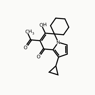 CC(=O)C1=C(O)C2(CCCCC2)n2ccc(C3CC3)c2C1=O